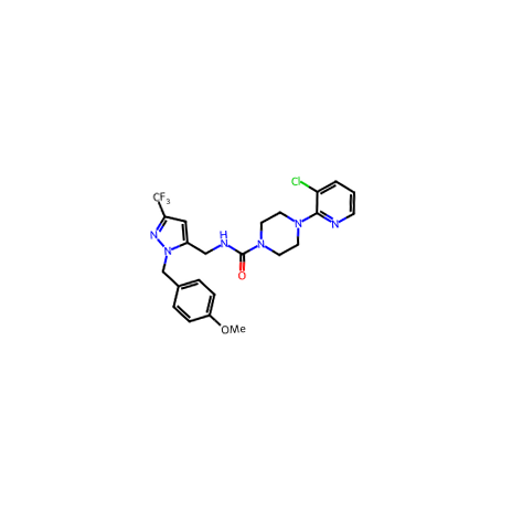 COc1ccc(Cn2nc(C(F)(F)F)cc2CNC(=O)N2CCN(c3ncccc3Cl)CC2)cc1